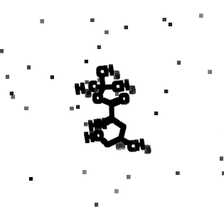 C[C@@H](CO)CC(=N)C(=O)OC(C)(C)C